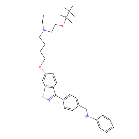 CCN(CCCCOc1ccc2c(-c3ccc(CNc4ccccc4)cc3)nsc2c1)CCO[Si](C)(C)C(C)(C)C